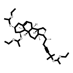 CCOC(C)O[C@@H]1CC2=CC[C@H]3[C@@H]4CC[C@H]([C@H](C)CC#CC(C)(C)OC(C)OCC)[C@@]4(C)CC[C@@H]3[C@@]2(C)[C@@H](OC(C)OCC)C1